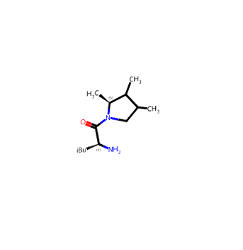 CCC(C)[C@H](N)C(=O)N1CC(C)C(C)[C@@H]1C